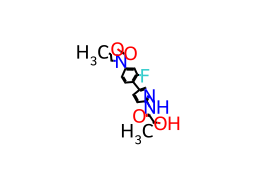 CC1CN(c2ccc(-c3ccc(NC(=O)C(C)O)nc3)c(F)c2)C(=O)O1